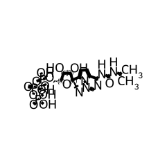 CC(C)NC(=O)Nc1ncnn2c([C@]3(C#N)O[C@H](COP(=O)(O)OP(=O)(O)OP(=O)(O)O)[C@@H](O)[C@H]3O)ccc12